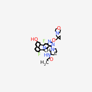 C#Cc1c(F)ccc2cc(O)cc(-c3ncc4c(N5CCCC[C@@H](NC(=O)C=C)C5)nc(OCC5(CN6CCOCC6)CC5)nc4c3F)c12